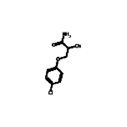 N#C[C](COc1ccc(Cl)cc1)C(N)=O